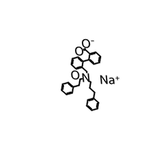 O=C([O-])c1ccccc1-c1ccccc1CN(CCCc1ccccc1)C(=O)Cc1ccccc1.[Na+]